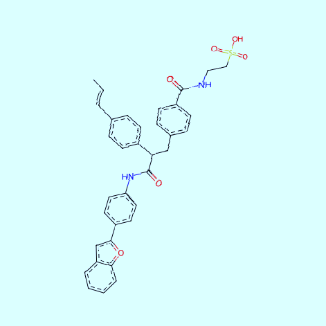 C/C=C/c1ccc(C(Cc2ccc(C(=O)NCCS(=O)(=O)O)cc2)C(=O)Nc2ccc(-c3cc4ccccc4o3)cc2)cc1